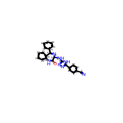 N#Cc1ccc(-c2nnc(NC3N=C(c4ccccc4)c4ccccc4NC3=O)[nH]2)cc1